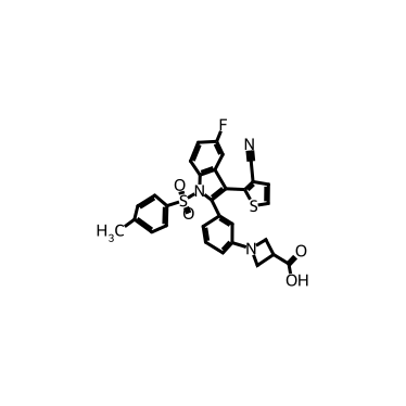 Cc1ccc(S(=O)(=O)n2c(-c3cccc(N4CC(C(=O)O)C4)c3)c(-c3sccc3C#N)c3cc(F)ccc32)cc1